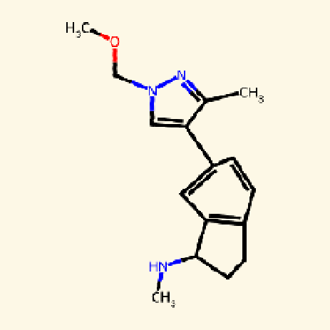 CNC1CCc2ccc(-c3cn(COC)nc3C)cc21